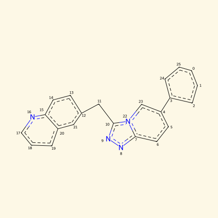 c1ccc(-c2ccc3nnc(Cc4ccc5ncccc5c4)n3c2)cc1